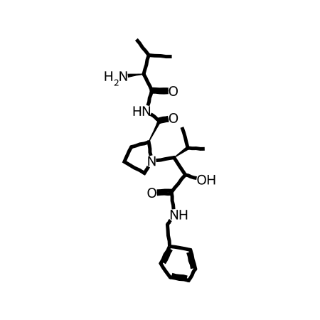 CC(C)[C@@H](C(O)C(=O)NCc1ccccc1)N1CCC[C@H]1C(=O)NC(=O)[C@@H](N)C(C)C